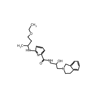 CCOCCC(C)Nc1cccc(C(=O)NCC(O)CN2CCc3ccccc3C2)n1